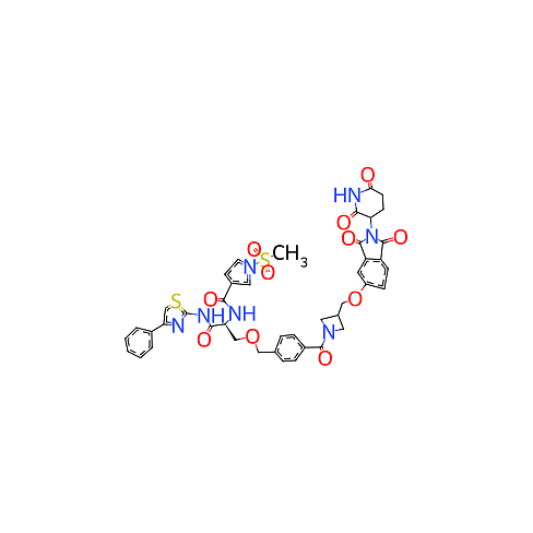 CS(=O)(=O)n1ccc(C(=O)N[C@@H](COCc2ccc(C(=O)N3CC(COc4ccc5c(c4)C(=O)N(C4CCC(=O)NC4=O)C5=O)C3)cc2)C(=O)Nc2nc(-c3ccccc3)cs2)c1